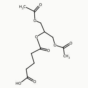 CC(=O)OCC(COC(C)=O)OC(=O)CCCC(=O)O